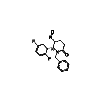 O=NC1CCC(=O)N(Cc2ccccc2)[C@@H]1C1CC(F)=CC=C1F